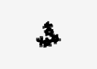 [CH3][Sn]([CH3])([CH3])[c]1ccc(C2=CC=C[SH]2c2cc[c]([Sn]([CH3])([CH3])[CH3])s2)s1